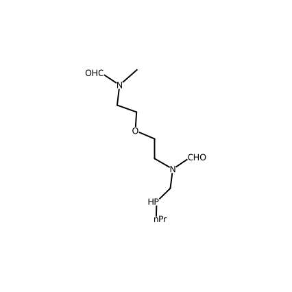 CCCPCN(C=O)CCOCCN(C)C=O